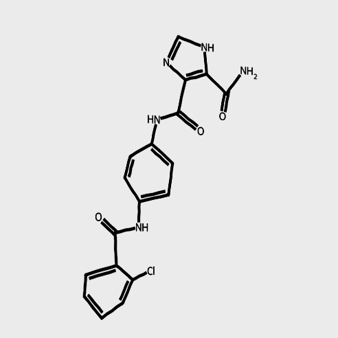 NC(=O)c1[nH]cnc1C(=O)Nc1ccc(NC(=O)c2ccccc2Cl)cc1